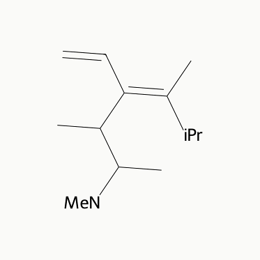 C=CC(=C(C)C(C)C)C(C)C(C)NC